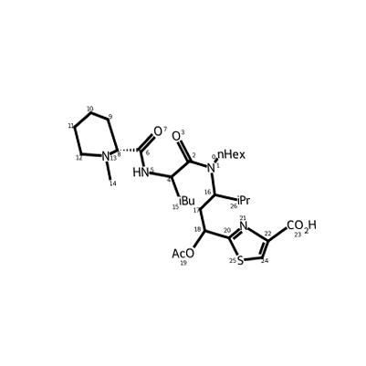 CCCCCCN(C(=O)C(NC(=O)[C@H]1CCCCN1C)C(C)CC)C(CC(OC(C)=O)c1nc(C(=O)O)cs1)C(C)C